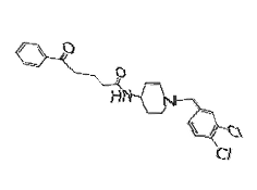 O=C(CCCC(=O)c1ccccc1)NC1CCN(Cc2ccc(Cl)c(Cl)c2)CC1